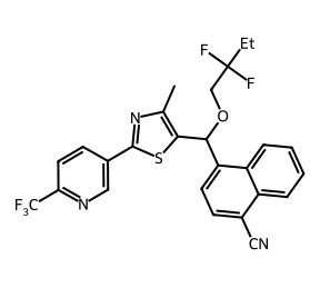 CCC(F)(F)COC(c1sc(-c2ccc(C(F)(F)F)nc2)nc1C)c1ccc(C#N)c2ccccc12